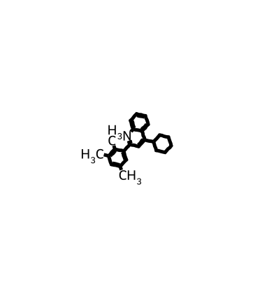 Cc1cc(C)c(C)c(-c2cc(C3CCCCC3)c3ccccc3n2)c1